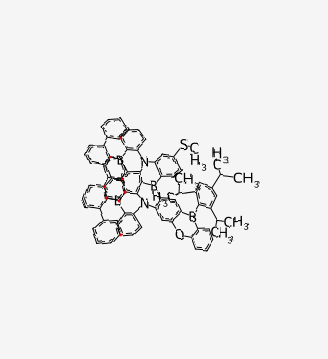 CSc1ccc2c(c1)N1c3ccccc3B(c3c(-c4ccccc4)cccc3-c3ccccc3)c3cc4c5c(c31)B2c1cc2c(cc1N5c1ccccc1B4c1c(-c3ccccc3)cccc1-c1ccccc1)Oc1ccccc1B2c1c(C(C)C)cc(C(C)C)cc1C(C)C